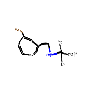 CCC(CC)(NCc1cccc(Br)c1)C(=O)O